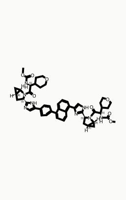 COC(=O)N[C@H](C(=O)N1[C@@H]2C[C@@H]2C[C@H]1c1nc(-c2cccc3c(-c4ccc(-c5cnc([C@@H]6C[C@H]7C[C@H]7N6C(=O)[C@@H](NC(=O)OC)C6CCOCC6)[nH]5)cc4)cccc23)c[nH]1)C1CCOCC1